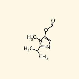 CC(C)c1ncc(OC=O)n1C